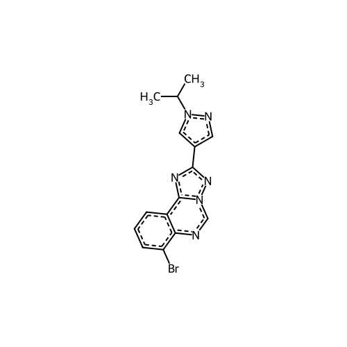 CC(C)n1cc(-c2nc3c4cccc(Br)c4ncn3n2)cn1